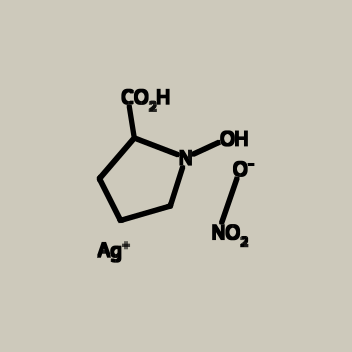 O=C(O)C1CCCN1O.O=[N+]([O-])[O-].[Ag+]